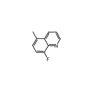 Cc1ccc(F)c2ncccc12